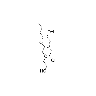 CCCCOCCOCCO.OCCOCCO